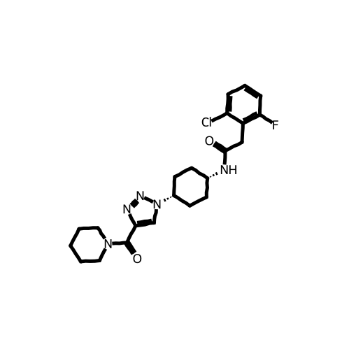 O=C(Cc1c(F)cccc1Cl)N[C@H]1CC[C@@H](n2cc(C(=O)N3CCCCC3)nn2)CC1